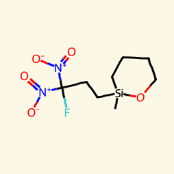 C[Si]1(CCC(F)([N+](=O)[O-])[N+](=O)[O-])CCCCO1